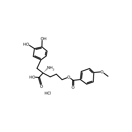 COc1ccc(C(=O)OCCC[C@](N)(Cc2ccc(O)c(O)c2)C(=O)O)cc1.Cl